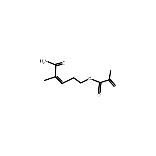 C=C(C)C(=O)OCCC=C(C)C(N)=O